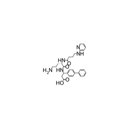 NCCC[C@H](NC(=O)CCCNc1ccccn1)C(=O)NC(CC(=O)O)c1ccc(-c2ccccc2)cc1